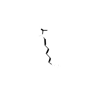 O=C(O)C=C/C=C/C=C/NC(=O)F